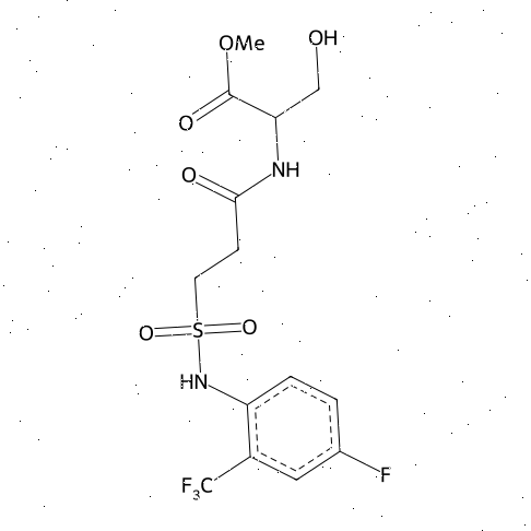 COC(=O)C(CO)NC(=O)CCS(=O)(=O)Nc1ccc(F)cc1C(F)(F)F